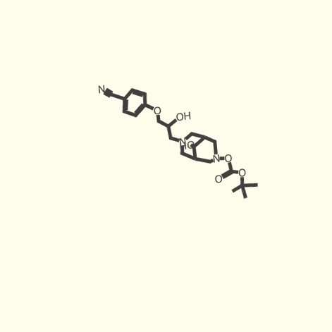 CC(C)(C)OC(=O)ON1CC2CN(CC(O)COc3ccc(C#N)cc3)CC(C1)C2O